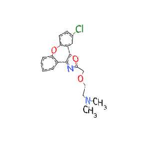 CN(C)CCOCc1nc2c(o1)-c1cc(Cl)ccc1Oc1ccccc1-2